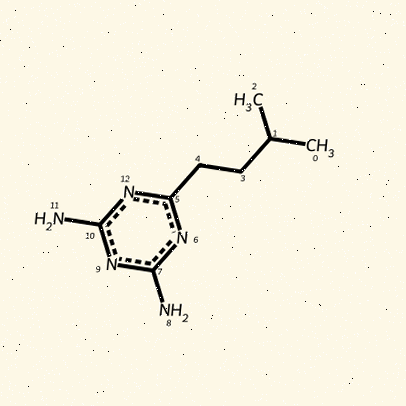 CC(C)CCc1nc(N)nc(N)n1